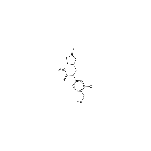 COC(=O)C(CC1CCC(=O)C1)c1ccc(OC(C)(C)C)c(Cl)c1